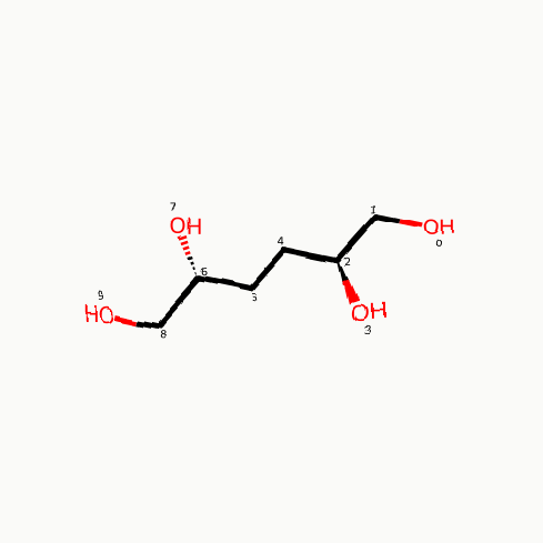 OC[C@@H](O)CC[C@@H](O)CO